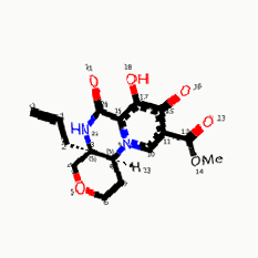 C=CC[C@@]12COCC[C@@H]1n1cc(C(=O)OC)c(=O)c(O)c1C(=O)N2